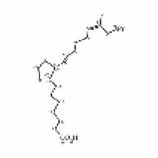 CC(=CCCCC=C[C@H]1CCC[C@@H]1CCCCCCC(=O)O)CC(C)C